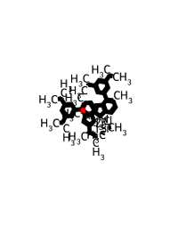 CCC(C)C1=Cc2c(ccc(C)c2-c2cc(C(C)C)cc(C(C)C)c2)[CH]1[Zr]([Cl])([Cl])([CH]1C(C(C)CC)=Cc2c1ccc(C)c2-c1cc(C(C)C)cc(C(C)C)c1)[SiH](C)C